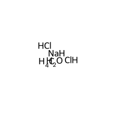 C.Cl.Cl.O.[NaH]